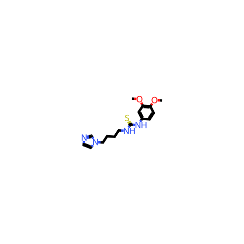 COc1ccc(NC(=S)NCCCCn2ccnc2)cc1OC